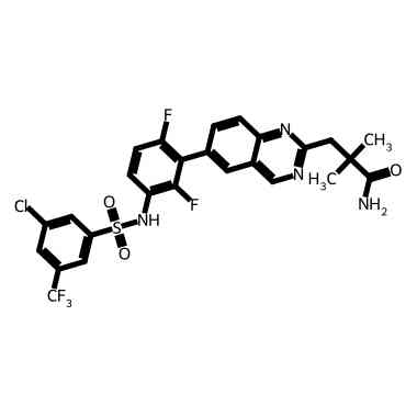 CC(C)(Cc1ncc2cc(-c3c(F)ccc(NS(=O)(=O)c4cc(Cl)cc(C(F)(F)F)c4)c3F)ccc2n1)C(N)=O